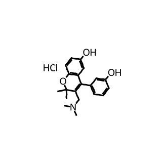 CN(C)CC1=C(c2cccc(O)c2)c2cc(O)ccc2OC1(C)C.Cl